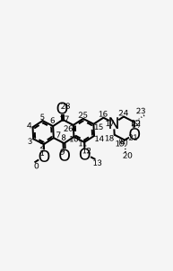 COc1cccc2c1C(=O)c1c(OC)cc(CN3C[C@@H](C)O[C@@H](C)C3)cc1C2=O